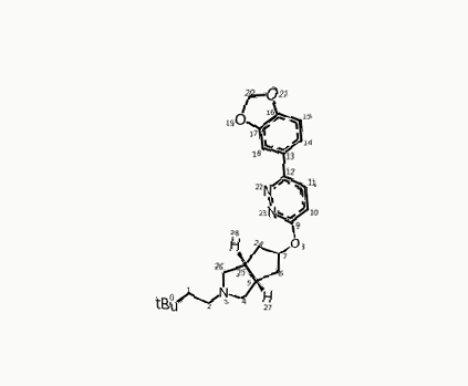 CC(C)(C)CCN1C[C@H]2CC(Oc3ccc(-c4ccc5c(c4)OCO5)nn3)C[C@H]2C1